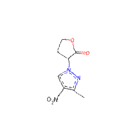 Cc1nn(C2CCOC2=O)cc1[N+](=O)[O-]